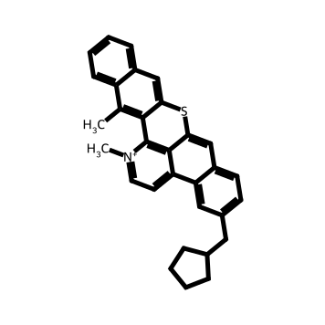 Cc1c2c(cc3ccccc13)Sc1cc3ccc(CC4CCCC4)cc3c3cc[n+](C)c-2c13